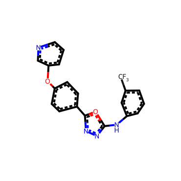 FC(F)(F)c1cccc(Nc2nnc(-c3ccc(Oc4cccnc4)cc3)o2)c1